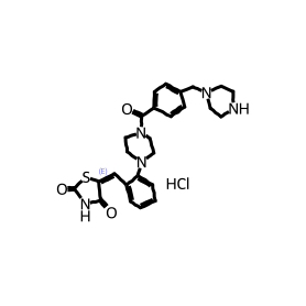 Cl.O=C1NC(=O)/C(=C\c2ccccc2N2CCN(C(=O)c3ccc(CN4CCNCC4)cc3)CC2)S1